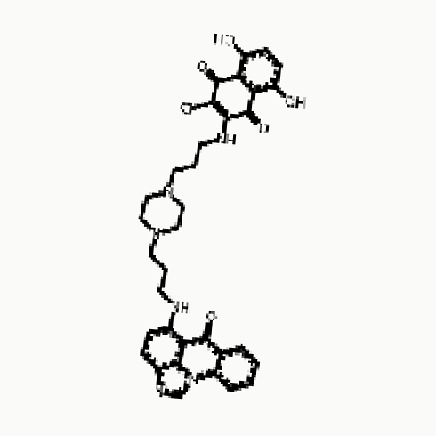 O=C1C(Cl)=C(NCCCN2CCN(CCCNc3ccc4ncn5c6ccccc6c(=O)c3c45)CC2)C(=O)c2c(O)ccc(O)c21